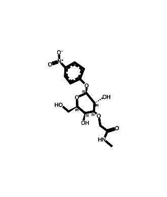 CNC(=O)CO[C@H]1[C@@H](O)[C@@H](CO)O[C@@H](Oc2ccc([N+](=O)[O-])cc2)[C@@H]1O